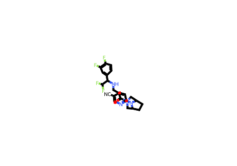 N#Cc1ccc(N2C3CCC2CN(C(=O)CCNC(c2ccc(F)c(F)c2)C(F)F)C3)nc1